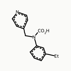 CCc1cccc(N(Cc2ccncc2)C(=O)O)c1